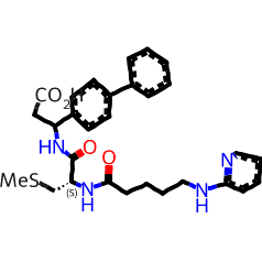 CSC[C@@H](NC(=O)CCCCNc1ccccn1)C(=O)NC(CC(=O)O)c1ccc(-c2ccccc2)cc1